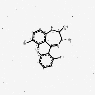 CC[C@@H]1N=C(c2c(F)cccc2F)c2c(ccc(Br)c2Cl)NC1O